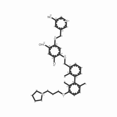 Cc1ccc(OCCCN2CCCC2)c(C)c1-c1cccc(COc2cc(OCc3cncc(C#N)c3)c(C=O)cc2Cl)c1C